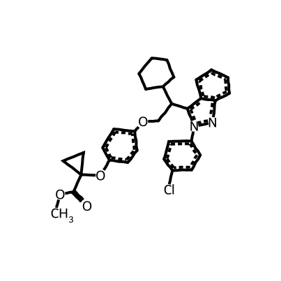 COC(=O)C1(Oc2ccc(OCC(c3c4ccccc4nn3-c3ccc(Cl)cc3)C3CCCCC3)cc2)CC1